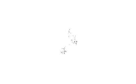 C=C1CCCN1CC(=O)N(C)c1nnc(CCCCc2ccc(C)nn2)s1